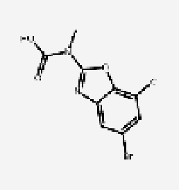 CN(C(=O)O)c1nc2cc(Br)cc(Cl)c2o1